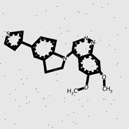 COc1cc2nncc(N3CCc4cc(-c5ccsc5)ccc43)c2cc1OC